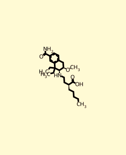 CCCCC[C@@H](CCN[C@@H]1[C@H](OC)Cc2ccc(C(N)=O)cc2C1(CC)CC)C(=O)O